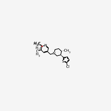 C=C(C)/N=C\C(=C/C(C)CC)CN1CC[C@H](C)[C@@H](c2ccc(Cl)s2)C1